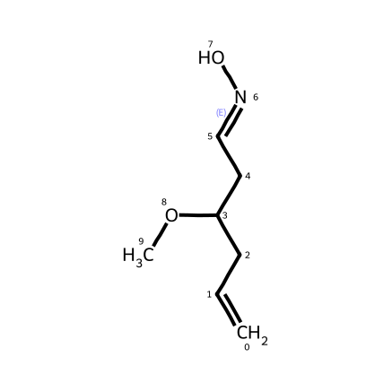 C=CCC(C/C=N/O)OC